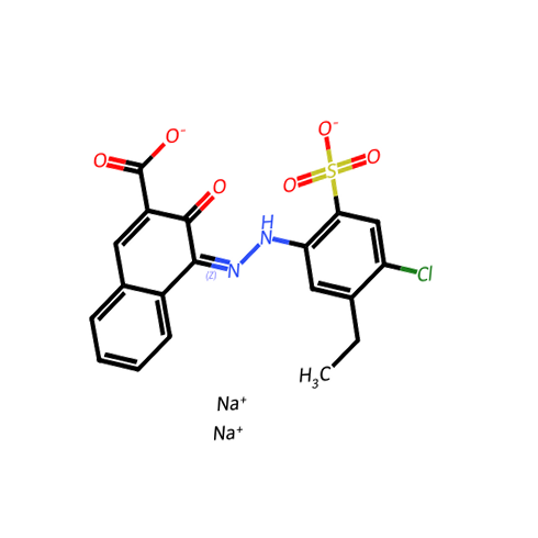 CCc1cc(N/N=C2\C(=O)C(C(=O)[O-])=Cc3ccccc32)c(S(=O)(=O)[O-])cc1Cl.[Na+].[Na+]